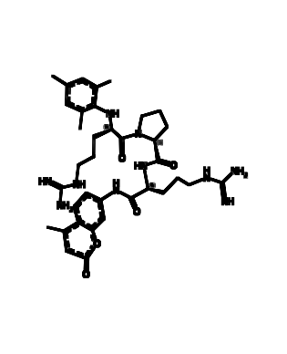 Cc1cc(C)c(N[C@H](CCCNC(=N)N)C(=O)N2CCC[C@H]2C(=O)N[C@@H](CCCNC(=N)N)C(=O)Nc2ccc3c(C)cc(=O)oc3c2)c(C)c1